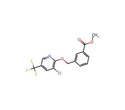 COC(=O)c1cccc(COc2ncc(C(F)(F)F)cc2Cl)c1